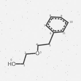 OCCO[CH]Cc1ccccc1